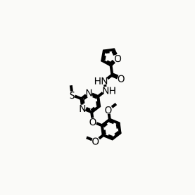 COc1cccc(OC)c1Oc1cc(NNC(=O)c2ccco2)nc(SC)n1